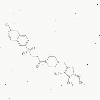 CN=c1sc(CN2CCN(C(=O)CCS(=O)(=O)c3ccc4cc(Cl)ccc4c3)CC2)c(C)n1C